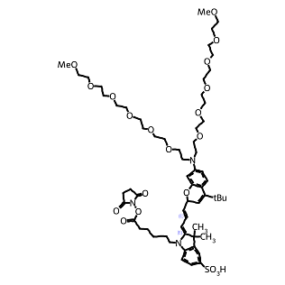 COCCOCCOCCOCCOCCOCCN(CCOCCOCCOCCOCCOCCOC)c1ccc2c(c1)OC(/C=C/C=C1/N(CCCCCC(=O)ON3C(=O)CCC3=O)c3ccc(S(=O)(=O)O)cc3C1(C)C)C=C2C(C)(C)C